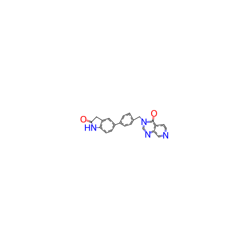 O=C1Cc2cc(-c3ccc(Cn4cnc5cnccc5c4=O)cc3)ccc2N1